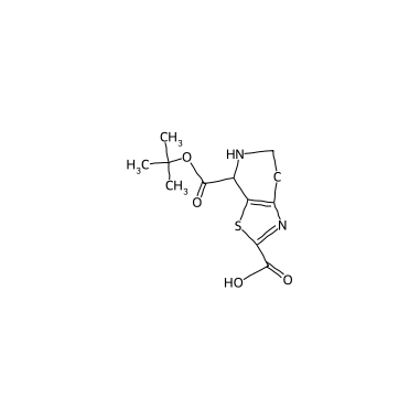 CC(C)(C)OC(=O)C1NCCc2nc(C(=O)O)sc21